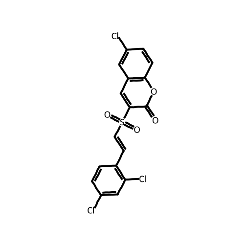 O=c1oc2ccc(Cl)cc2cc1S(=O)(=O)C=Cc1ccc(Cl)cc1Cl